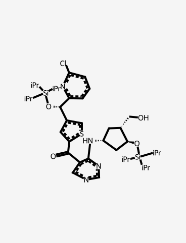 CC(C)[Si](O[C@@H](c1csc(C(=O)c2cncnc2N[C@@H]2C[C@H](CO)[C@@H](O[Si](C(C)C)(C(C)C)C(C)C)C2)c1)c1cccc(Cl)n1)(C(C)C)C(C)C